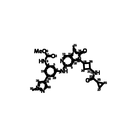 COC(=O)Nc1cc(Nc2cc3c(cn2)n(C)c(=O)n3C2CC(NC(=O)C3CC3)C2)cc(-c2cnn(C)c2)c1